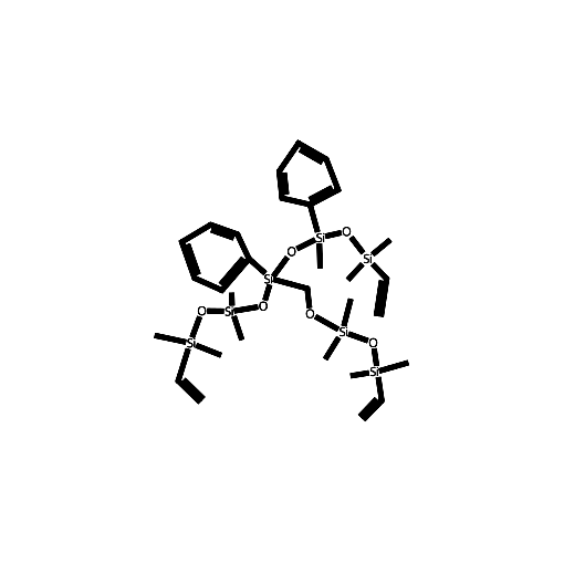 C=C[Si](C)(C)O[Si](C)(C)OC[Si](O[Si](C)(C)O[Si](C)(C)C=C)(O[Si](C)(O[Si](C)(C)C=C)c1ccccc1)c1ccccc1